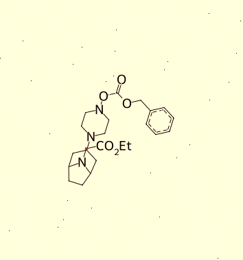 CCOC(=O)CN1C2CCC1CC(N1CCN(OC(=O)OCc3ccccc3)CC1)C2